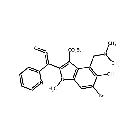 CCOC(=O)c1c(C(=S=O)c2ccccn2)n(C)c2cc(Br)c(O)c(CN(C)C)c12